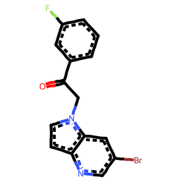 O=C(Cn1ccc2ncc(Br)cc21)c1cccc(F)c1